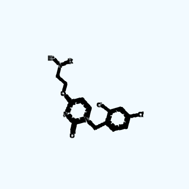 CCN(CC)CCOc1ccn(Cc2ccc(Cl)cc2Cl)c(=O)n1